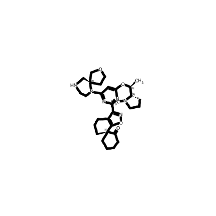 C[C@H](Oc1cc(N2CCNC[C@@]23CCOC3)nc(-c2noc3c2CCC[C@@]32CCCCC2=O)n1)[C@@H]1CCCN1C